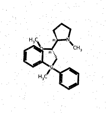 CO[C@@H](C[Si](C)(c1ccccc1)c1ccccc1)[C@H]1CCCN1C